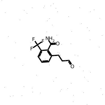 NC(=O)c1c([CH]CC=O)cccc1C(F)(F)F